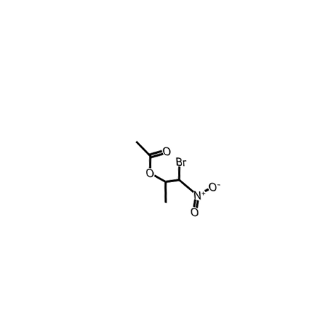 CC(=O)OC(C)C(Br)[N+](=O)[O-]